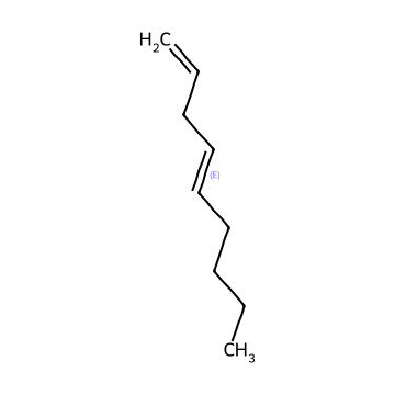 C=CC/C=C/CCCC